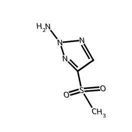 CS(=O)(=O)c1cnn(N)n1